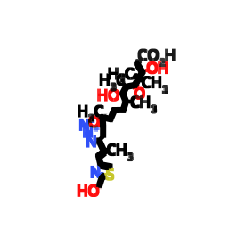 C/C(=C\c1csc(CO)n1)[C@H](CC1O[C@]1(C)CCC[C@H](C)[C@H](O)[C@@H](C)C(=O)C(C)(C)[C@@H](O)CC(=O)O)N=[N+]=[N-]